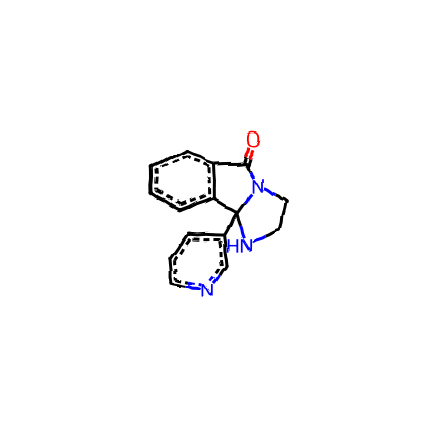 O=C1c2ccccc2C2(c3cccnc3)NCCN12